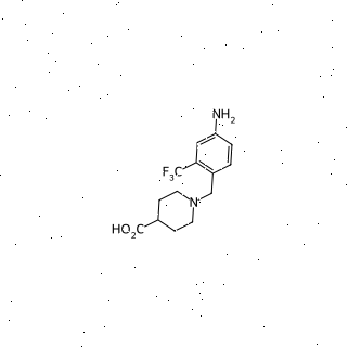 Nc1ccc(CN2CCC(C(=O)O)CC2)c(C(F)(F)F)c1